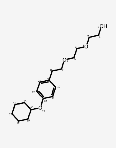 OCCOCCOCCc1ccc(OC2CCCCC2)cc1